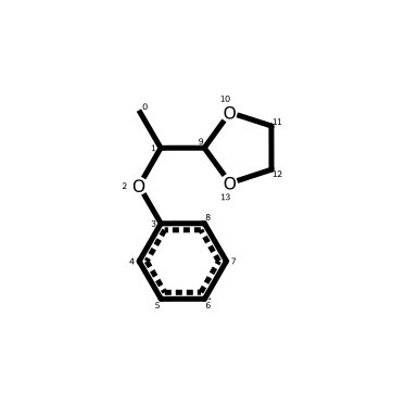 CC(Oc1cc[c]cc1)C1OCCO1